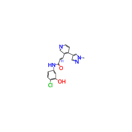 Cn1cc(-c2ccncc2/C=C/C(=O)Nc2ccc(Cl)c(O)c2)cn1